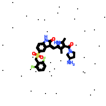 Cc1[nH]c(/C=C2\C(=O)Nc3ccc(S(=O)(=O)Cc4c(F)cccc4F)cc32)c(C)c1C(=O)N1CC[C@@H](N)C1